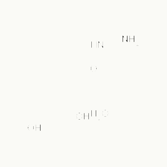 NNOCC(O)CO.O